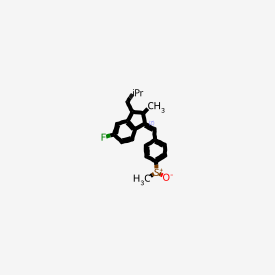 CC(C)CC1c2cc(F)ccc2/C(=C\c2ccc([S+](C)[O-])cc2)C1C